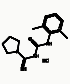 Cc1cccc(C)c1NC(=O)NC(=N)N1CCCC1.Cl